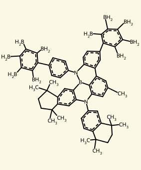 Bc1c(B)c(B)c(-c2ccc(N3B4c5cc6c(cc5N(c5ccc7c(c5)C(C)(C)CCC7(C)C)c5cc(C)cc(c54)-c4cc(-c5c(B)c(B)c(B)c(B)c5B)ccc43)C(C)(C)CCC6(C)C)cc2)c(B)c1B